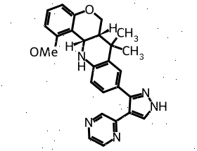 COc1cccc2c1[C@H]1Nc3ccc(-c4n[nH]cc4-c4cnccn4)cc3C(C)(C)[C@H]1CO2